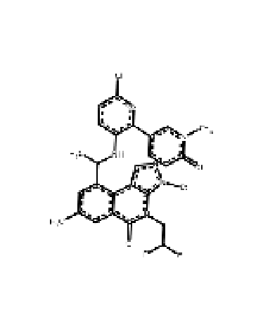 CCn1ncc2c3c(C(C)Nc4ccc(Cl)nc4-c4ccc(=O)n(C)c4)cc(C)cc3c(=O)n(CC(F)F)c21